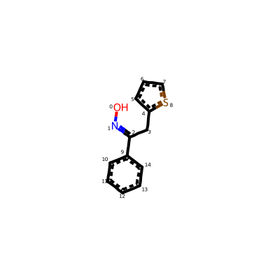 ON=C(Cc1cccs1)c1ccccc1